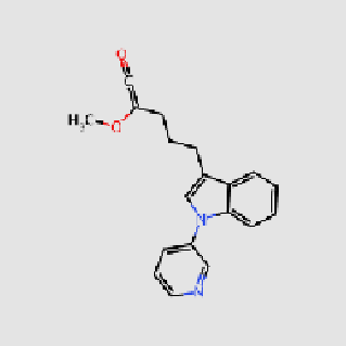 COC(=C=O)CCCc1cn(-c2cccnc2)c2ccccc12